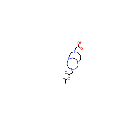 CC(C)OC(=O)CN1CCCN2CCN(CCCN(CC(=O)O)CC2)CC1